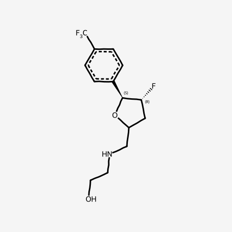 OCCNCC1C[C@@H](F)[C@H](c2ccc(C(F)(F)F)cc2)O1